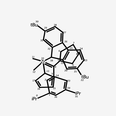 CC(C)c1cc([C](C2CCCC2)=[Zr]([CH3])([CH3])([CH]2C=CC=C2)[CH]2c3cc(C(C)(C)C)ccc3-c3ccc(C(C)(C)C)cc32)cc(C(C)C)c1